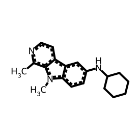 Cc1nccc2c3cc(NC4CCCCC4)ccc3n(C)c12